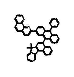 CC1(C)c2ccccc2-c2c1cc(-c1c3ccccc3c(-c3ccccc3)c3ccc(-c4ccc5ccc6cccnc6c5n4)cc13)c1ccccc21